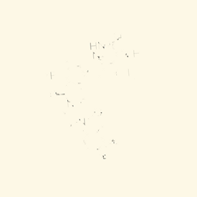 Cc1c(Cc2ccc(F)c(C(=O)N3CCN(c4ccc(F)c(Cl)c4)C(=O)C3)c2)n[nH]c(=O)c1C